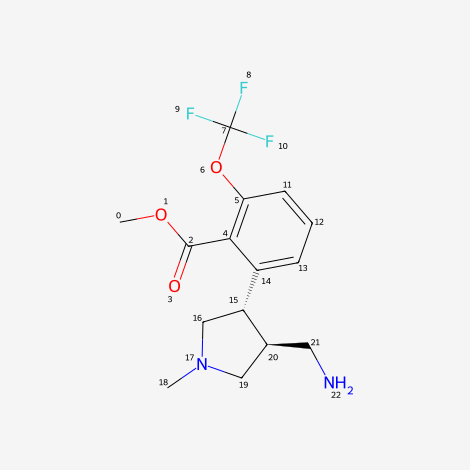 COC(=O)c1c(OC(F)(F)F)cccc1[C@H]1CN(C)C[C@@H]1CN